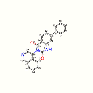 O=c1[nH]c2cc(-c3ccccc3)ccc2c(=O)n1-c1cncc2ccccc12